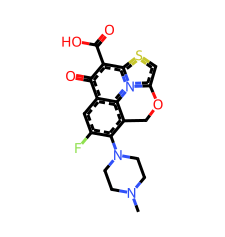 CN1CCN(c2c(F)cc3c(=O)c(C(=O)O)c4scc5n4c3c2CO5)CC1